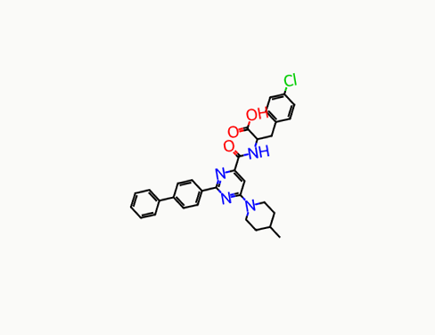 CC1CCN(c2cc(C(=O)NC(Cc3ccc(Cl)cc3)C(=O)O)nc(-c3ccc(-c4ccccc4)cc3)n2)CC1